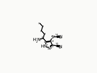 CCCCC(N)c1[nH]nc(C#N)c1SC#N